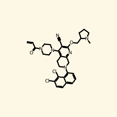 C=CC(=O)N1CCN(c2c(C#N)c(OCC3CCCN3C)nc3c2CCN(c2cccc4ccc(Cl)c(Cl)c24)C3)CC1